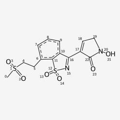 CS(=O)(=O)CCc1cccc2c1S(=O)(=O)N=C2C1=CCN(O)C1=O